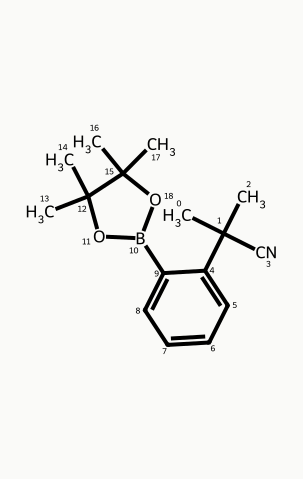 CC(C)(C#N)c1ccccc1B1OC(C)(C)C(C)(C)O1